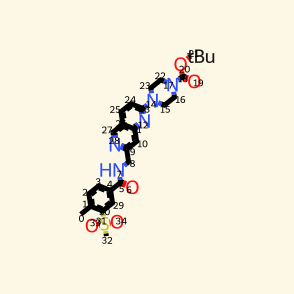 Cc1ccc(C(=O)NCc2cc3nc(N4CCN(C(=O)OC(C)(C)C)CC4)ccc3cn2)cc1S(C)(=O)=O